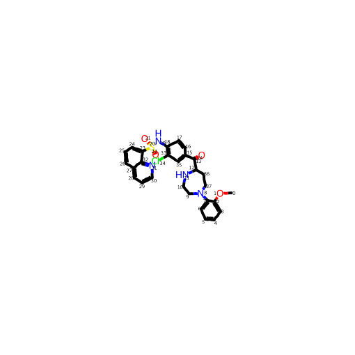 COc1ccccc1N1CCNC(C(=O)c2ccc(NS(=O)(=O)c3cccc4cccnc34)c(Cl)c2)CC1